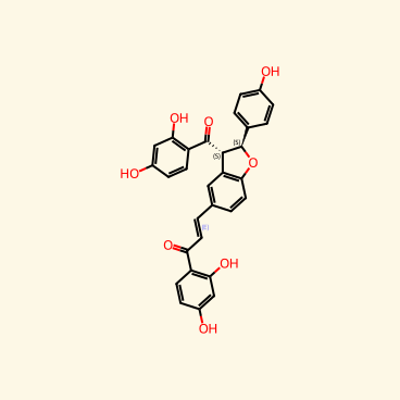 O=C(/C=C/c1ccc2c(c1)[C@H](C(=O)c1ccc(O)cc1O)[C@@H](c1ccc(O)cc1)O2)c1ccc(O)cc1O